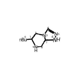 CCCCC1CN2C=NNC2[C]N1